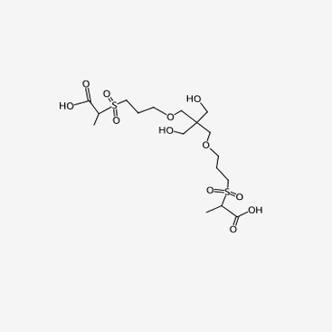 CC(C(=O)O)S(=O)(=O)CCCOCC(CO)(CO)COCCCS(=O)(=O)C(C)C(=O)O